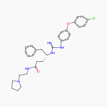 N=C(Nc1ccc(Oc2ccc(Cl)cc2)cc1)N[C@H](CCC(=O)NCCN1CCCC1)Cc1ccccc1